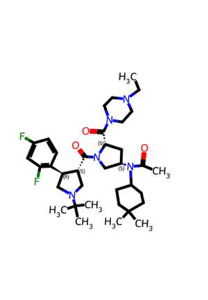 CCN1CCN(C(=O)[C@@H]2C[C@H](N(C(C)=O)C3CCC(C)(C)CC3)CN2C(=O)[C@@H]2CN(C(C)(C)C)C[C@H]2c2ccc(F)cc2F)CC1